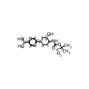 CC(C)(C)OC(=O)N[C@H]1CCN(c2cnc(B(O)O)cn2)C[C@@H]1O